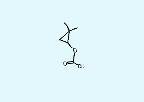 CC1(C)CC1OC(=O)O